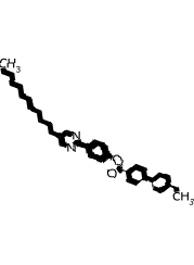 CCCCCCCCCCCCc1cnc(-c2ccc(OC(=O)[C@H]3CC[C@H]([C@H]4CC[C@H](CC)CC4)CC3)cc2)nc1